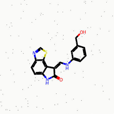 O=C1Nc2ccc3ncsc3c2/C1=C/Nc1cccc(CO)c1